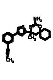 CC#Cc1cccc(-c2csc(C3(C)CC4(CCCCC4)OC(N)=N3)c2)c1